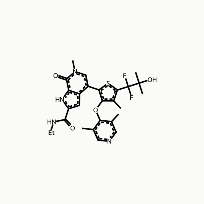 CCNC(=O)c1cc2c(-c3sc(C(F)(F)C(C)(C)O)c(C)c3Oc3c(C)cncc3C)cn(C)c(=O)c2[nH]1